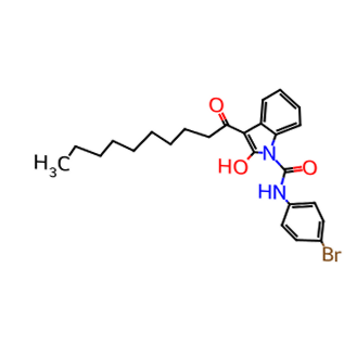 CCCCCCCCCC(=O)c1c(O)n(C(=O)Nc2ccc(Br)cc2)c2ccccc12